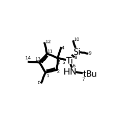 CC1=C[C](C)([Ti]([NH]C(C)(C)C)=[Si](C)C)C(C)=C1C